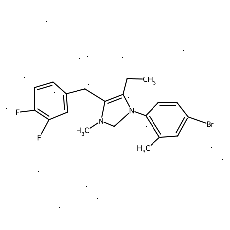 CCC1=C(Cc2ccc(F)c(F)c2)N(C)CN1c1ccc(Br)cc1C